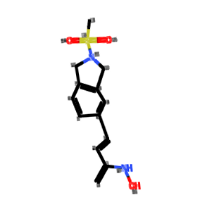 C=C(/C=C/c1ccc2c(c1)CN(S(C)(=O)=O)C2)NO